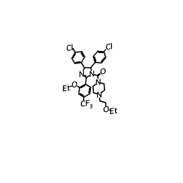 CCOCCN1CCN(C(=O)N2C(c3ccc(C(F)(F)F)cc3OCC)=NC(c3ccc(Cl)cc3)C2c2ccc(Cl)cc2)CC1